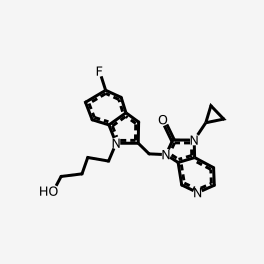 O=c1n(Cc2cc3cc(F)ccc3n2CCCCO)c2cnccc2n1C1CC1